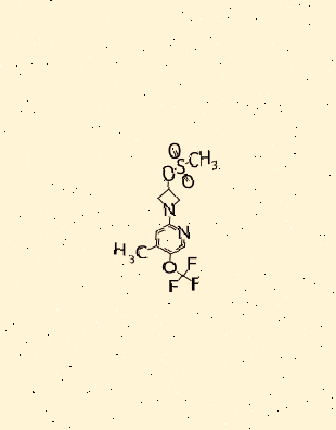 Cc1cc(N2CC(OS(C)(=O)=O)C2)ncc1OC(F)(F)F